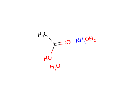 CC(=O)O.N.O.O